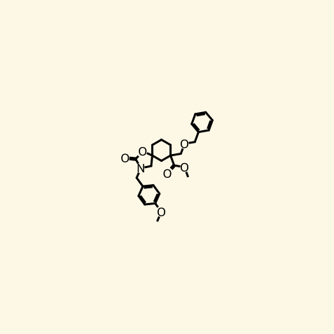 COC(=O)C1(COCc2ccccc2)CCCC2(CN(Cc3ccc(OC)cc3)C(=O)O2)C1